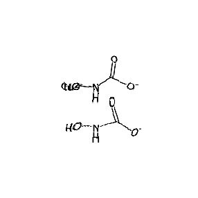 O=C([O-])NO.O=C([O-])NO.[Cu+2]